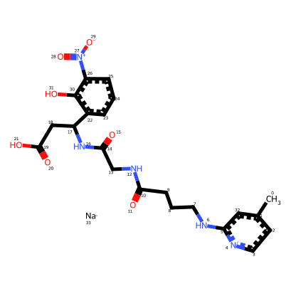 Cc1ccnc(NCCCC(=O)NCC(=O)NC(CC(=O)O)c2cccc([N+](=O)[O-])c2O)c1.[Na]